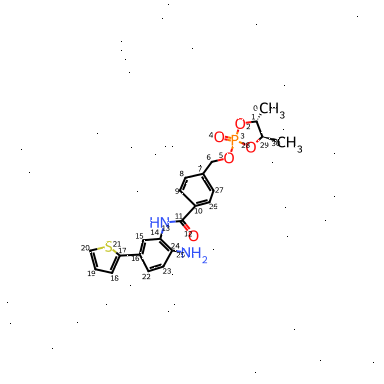 C[C@H]1OP(=O)(OCc2ccc(C(=O)Nc3cc(-c4cccs4)ccc3N)cc2)O[C@@H]1C